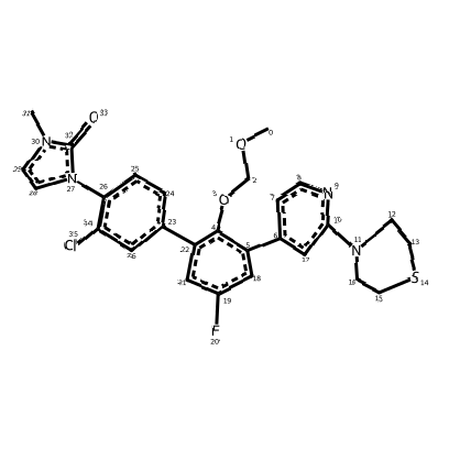 COCOc1c(-c2ccnc(N3CCSCC3)c2)cc(F)cc1-c1ccc(-n2ccn(C)c2=O)c(Cl)c1